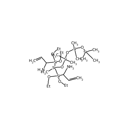 C=CC(N)[Si](OCC)(OCC)[Si](C)(O[Si](C)(C)O[Si](C)(C)O[Si](C)(C)C)[Si](OCC)(OCC)C(N)C=C